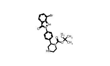 CC(C)(C)OC(=O)N1CCNCC1c1ccc(-n2[se]c3c(Br)cccc3c2=O)cc1